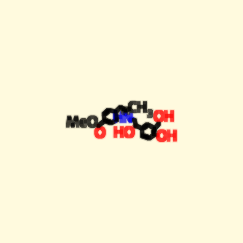 COC(=O)c1ccc(C[C@@H](C)NCC(O)c2ccc(O)c(CO)c2)cc1